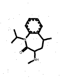 CNC1CC(C)c2ccccc2N(C(C)C)C1=O